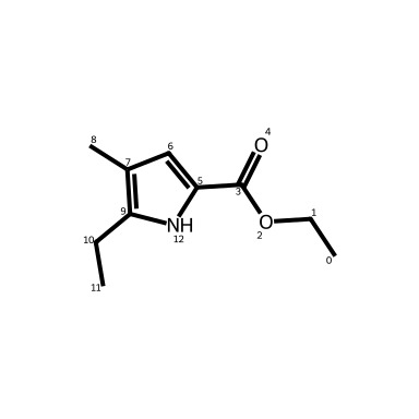 CCOC(=O)c1cc(C)c(CC)[nH]1